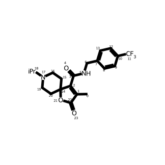 CC1=C(C(=O)NCc2ccc(C(F)(F)F)cc2)C2(CCN(C(C)C)CC2)OC1=O